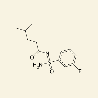 CC(C)CCC(=O)N=S(N)(=O)c1cccc(F)c1